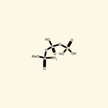 BP(=O)(OC)OP(=O)(O)OP(=O)(O)O